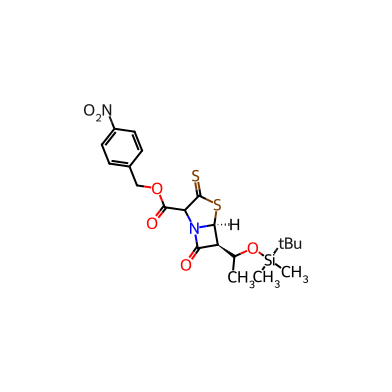 CC(O[Si](C)(C)C(C)(C)C)[C@H]1C(=O)N2C(C(=O)OCc3ccc([N+](=O)[O-])cc3)C(=S)S[C@@H]12